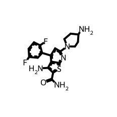 NC(=O)c1sc2nc(N3CCC(N)CC3)cc(-c3cc(F)ccc3F)c2c1N